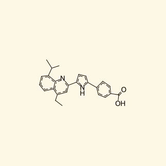 CCc1cc(-c2ccc(-c3ccc(C(=O)O)cc3)[nH]2)nc2c(C(C)C)cccc12